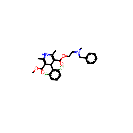 COC(=O)C1=C(C)NC(C)=C(C(=O)OCCN(C)Cc2ccccc2)C1c1c(F)cccc1Cl